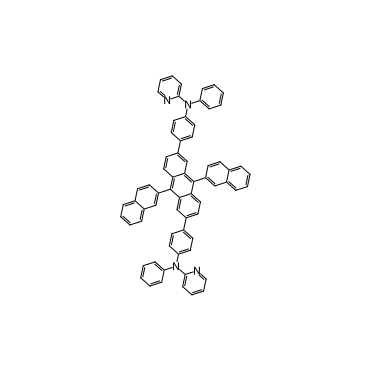 c1ccc(N(c2ccc(-c3ccc4c(-c5ccc6ccccc6c5)c5cc(-c6ccc(N(c7ccccc7)c7ccccn7)cc6)ccc5c(-c5ccc6ccccc6c5)c4c3)cc2)c2ccccn2)cc1